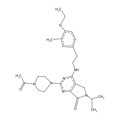 CCOc1ccc(CCNc2nc(N3CCN(C(C)=O)CC3)nc3c2CN(C(C)C)C3=O)cc1C